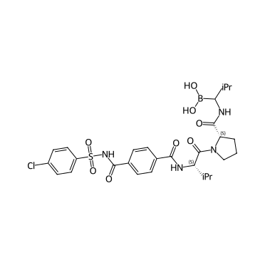 CC(C)C(NC(=O)[C@@H]1CCCN1C(=O)[C@@H](NC(=O)c1ccc(C(=O)NS(=O)(=O)c2ccc(Cl)cc2)cc1)C(C)C)B(O)O